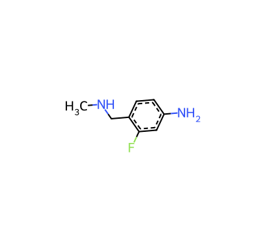 CNCc1ccc(N)cc1F